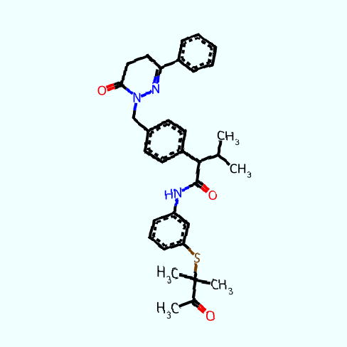 CC(=O)C(C)(C)Sc1cccc(NC(=O)C(c2ccc(CN3N=C(c4ccccc4)CCC3=O)cc2)C(C)C)c1